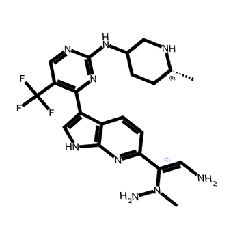 C[C@@H]1CCC(Nc2ncc(C(F)(F)F)c(-c3c[nH]c4nc(/C(=C/N)N(C)N)ccc34)n2)CN1